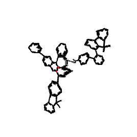 CC1(C)c2ccccc2-c2ccc(-c3ccc(N(c4ccc(-c5ccccc5-c5cccc6c5C(C)(C)c5ccccc5-6)cc4)c4ccccc4-c4cccc5ccc(-c6ccccc6)cc45)cc3)cc21